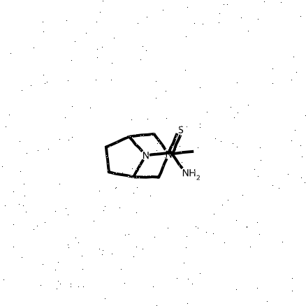 CN1CC2CCC(C1)N2C(N)=S